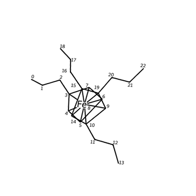 CCC[C]12[CH]3[CH]4[CH]5[CH]1[Fe]45321678[CH]2[C]1(CCC)[CH]6[C]7(CCC)[C]28CCC